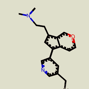 CN(C)CCc1cc(-c2cncc(CC(=O)O)c2)c2ccocc1-2